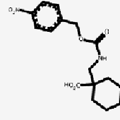 O=C(NCC1(C(=O)O)CCCCC1)OCc1ccc([N+](=O)[O-])cc1